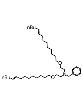 CCCCC=CCCCCCCCCOCCN(CCOCCCCCCCCC=CCCCC)Cc1ccccc1